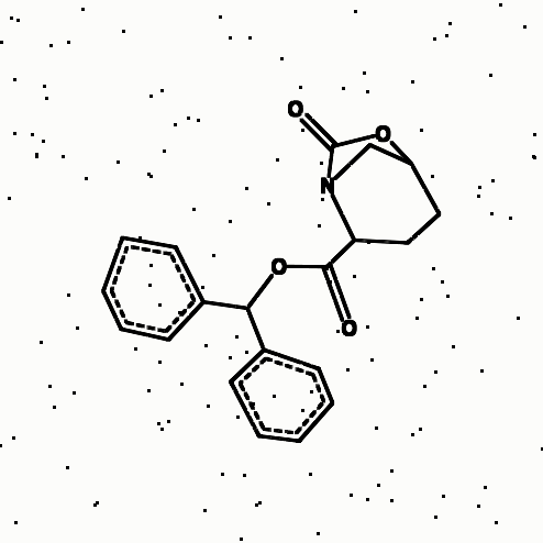 O=C(OC(c1ccccc1)c1ccccc1)C1CCC2CN1C(=O)O2